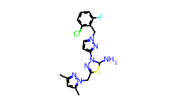 Cc1cc(C)n(CC2=NN(c3ccn(Cc4c(F)cccc4Cl)n3)C(N)S2)n1